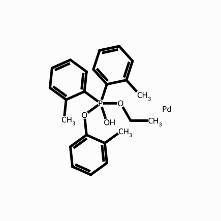 CCOP(O)(Oc1ccccc1C)(c1ccccc1C)c1ccccc1C.[Pd]